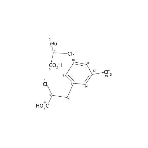 CCC(C)[C@H](Cl)C(=O)O.O=C(O)C(Cl)Cc1cccc(C(F)(F)F)c1